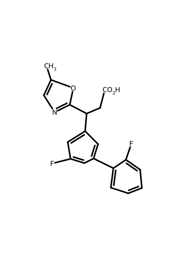 Cc1cnc(C(CC(=O)O)c2cc(F)cc(-c3ccccc3F)c2)o1